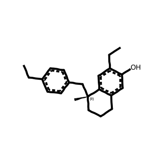 CCc1ccc(C[C@@]2(C)CCCc3cc(O)c(CC)cc32)cc1